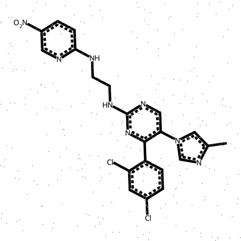 Cc1cn(-c2cnc(NCCNc3ccc([N+](=O)[O-])cn3)nc2-c2ccc(Cl)cc2Cl)cn1